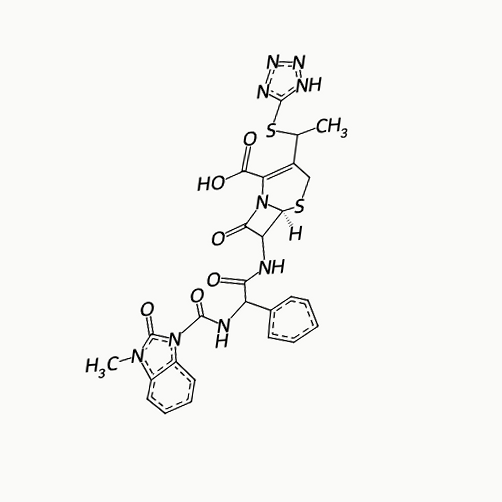 CC(Sc1nnn[nH]1)C1=C(C(=O)O)N2C(=O)C(NC(=O)C(NC(=O)n3c(=O)n(C)c4ccccc43)c3ccccc3)[C@@H]2SC1